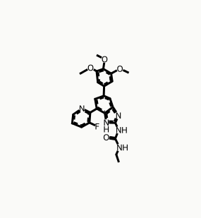 CCNC(=O)Nc1nc2cc(-c3cc(OC)c(OC)c(OC)c3)cc(-c3ncccc3F)c2[nH]1